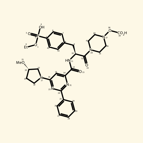 CCOP(=O)(O)c1ccc(C[C@H](NC(=O)c2cc(N3CC[C@H](OC)C3)nc(-c3ccccc3)n2)C(=O)N2CCN(OC(=O)O)CC2)cc1